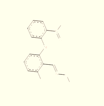 CON=Cc1c(Cl)cccc1Nc1ccccc1[N+](=O)[O-]